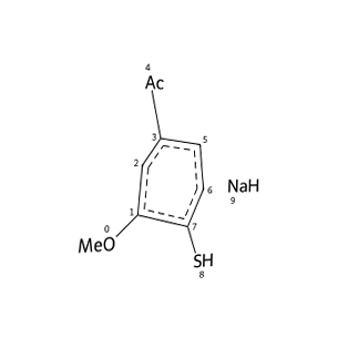 COc1cc(C(C)=O)ccc1S.[NaH]